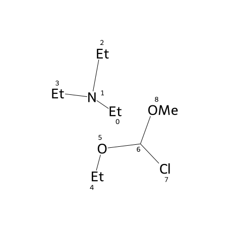 CCN(CC)CC.CCOC(Cl)OC